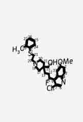 COc1ccc2ncc(Cl)c([C@H](F)CCC3(CO)CCN(CCSc4ccccc4C)CC3)c2c1